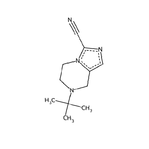 CC(C)(C)N1CCn2c(cnc2C#N)C1